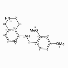 COc1ccc(CNc2nccc3c2CCNC3)c(OC)c1